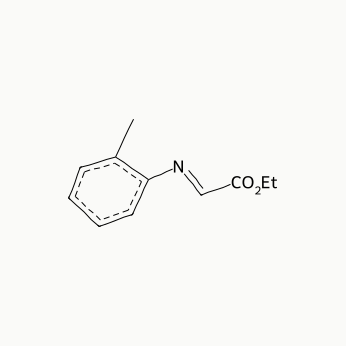 CCOC(=O)C=Nc1ccccc1C